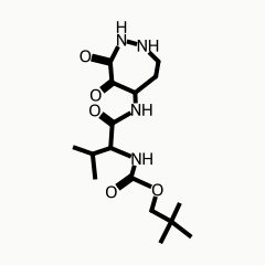 CC(C)C(NC(=O)OCC(C)(C)C)C(=O)NC1CCNNC(=O)C1=O